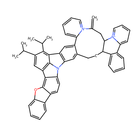 C=C1CC2C(CCc3cc4c(cc3-c3cccc[n+]31)c1c(C(C)C)c(C(C)C)cc3c5c6oc7ccccc7c6ccc5n4c31)c1ccccc1-c1cccc[n+]12